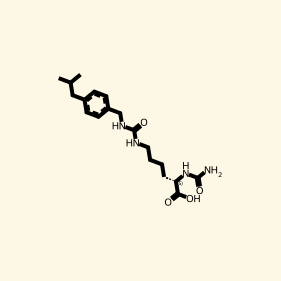 CC(C)Cc1ccc(CNC(=O)NCCCC[C@H](NC(N)=O)C(=O)O)cc1